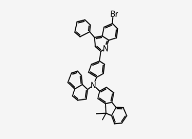 CC1(C)c2ccccc2-c2ccc(N(c3ccc(-c4cc(-c5ccccc5)c5cc(Br)ccc5n4)cc3)c3cccc4ccccc34)cc21